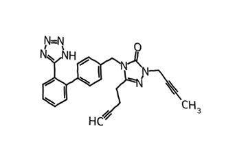 C#CCCc1nn(CC#CC)c(=O)n1Cc1ccc(-c2ccccc2-c2nnn[nH]2)cc1